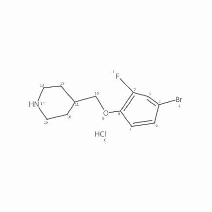 Cl.Fc1cc(Br)ccc1OCC1CCNCC1